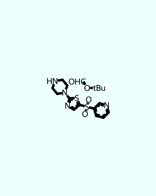 CC(C)(C)OC=O.O=S(=O)(c1cccnc1)c1cnc(N2CCNCC2)s1